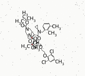 Cc1cc(Cl)c(OCCOc2ncc(C3=C(C(=O)N(Cc4cccc(C)c4C)C4CC4)C4CN(C(=O)OC(C)(C)C)CC(C3)N4C(=O)OC(C)(C)C)s2)c(Cl)c1